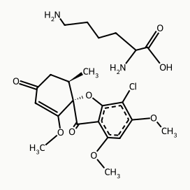 COC1=CC(=O)C[C@@H](C)[C@]12Oc1c(Cl)c(OC)cc(OC)c1C2=O.NCCCCC(N)C(=O)O